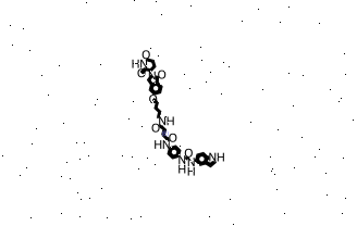 O=C(/C=C/C(=O)Nc1ccc(NC(=O)Nc2ccc3[nH]ccc3c2)cc1)NCCCCOc1ccc2c(c1)CN(C1CCC(=O)NC1=O)C2=O